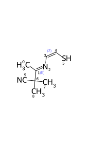 C/C(=N\C=C/S)C(C)(C)C#N